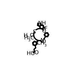 CC1(C)CCC(C)(c2cccc(CCC(=O)O)c2)c2coc(n2)-c2cccc(c2)Oc2c(F)cc3[nH]ccc3c2CCSC1